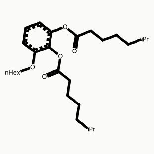 CCCCCCOc1cccc(OC(=O)CCCCC(C)C)c1OC(=O)CCCCC(C)C